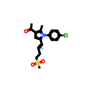 CC(=O)c1cc(/C=C/CCS(C)(=O)=O)n(-c2ccc(Cl)cc2)c1C